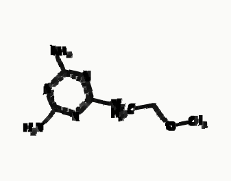 CCOC.Nc1nc(N)nc(N)n1